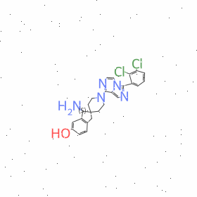 N[C@@H]1c2cc(O)ccc2CC12CCN(c1nccn3c(-c4cccc(Cl)c4Cl)ncc13)CC2